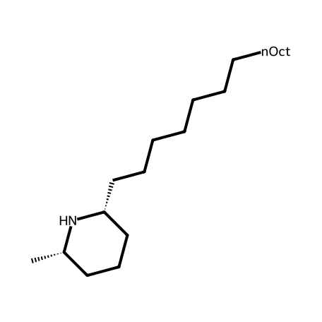 CCCCCCCCCCCCCCC[C@@H]1CCC[C@H](C)N1